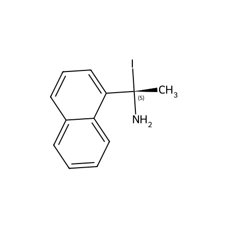 C[C@](N)(I)c1cccc2ccccc12